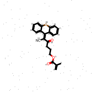 C=C(C)C(=O)OCCCC(=O)C(C#N)=C1c2ccccc2Sc2ccccc21